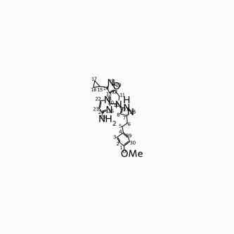 COc1ccc(CCc2cc(N(Cc3cc(C4CC4)no3)c3nccc(N)n3)[nH]n2)cc1